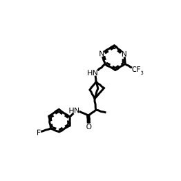 CC(C(=O)Nc1ccc(F)cc1)C12CC(Nc3cc(C(F)(F)F)ncn3)(C1)C2